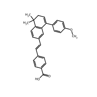 COc1ccc(C2=CCC(C)(C)c3ccc(/C=C/c4ccc(C(=O)O)cc4)cc32)cc1